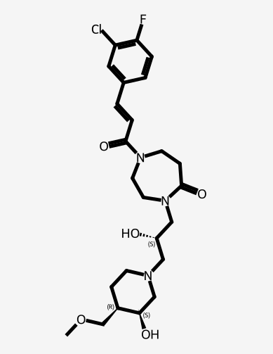 COC[C@H]1CCN(C[C@H](O)CN2CCN(C(=O)C=Cc3ccc(F)c(Cl)c3)CCC2=O)C[C@H]1O